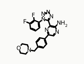 Nc1ncc(-c2ccc(CN3CCOCC3)cc2)nc1-c1nnnn1-c1cccc(F)c1F